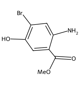 COC(=O)c1cc(O)c(Br)cc1N